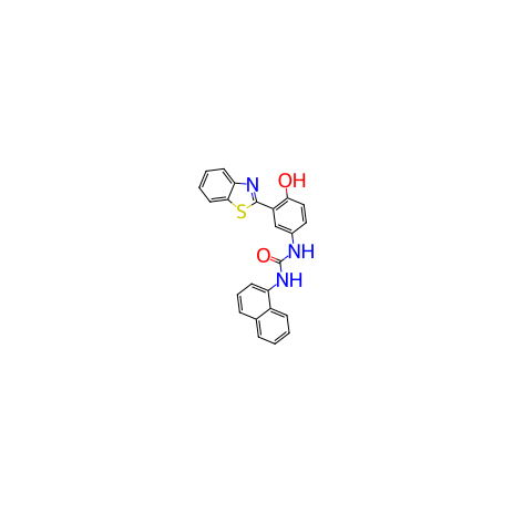 O=C(Nc1ccc(O)c(-c2nc3ccccc3s2)c1)Nc1cccc2ccccc12